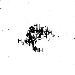 COc1cc(Nc2cc(Oc3ccc(NC(=O)Nc4cc(C(C)(C)C)cc(NSC)c4OC)c4ccccc34)ccn2)cc(C(=O)NCCN2CCNCC2)c1